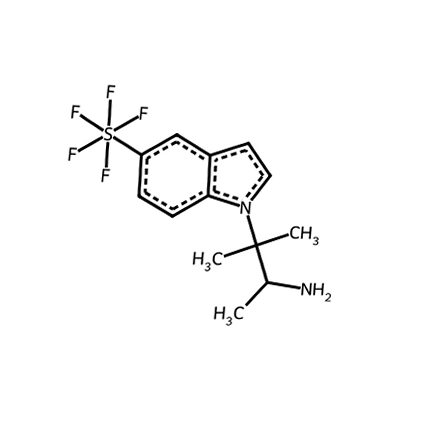 CC(N)C(C)(C)n1ccc2cc(S(F)(F)(F)(F)F)ccc21